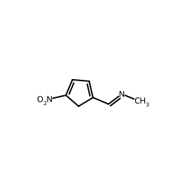 C/N=C/C1=CC=C([N+](=O)[O-])C1